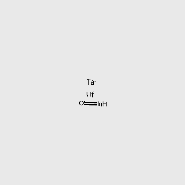 [Hf].[O]=[InH].[Ta]